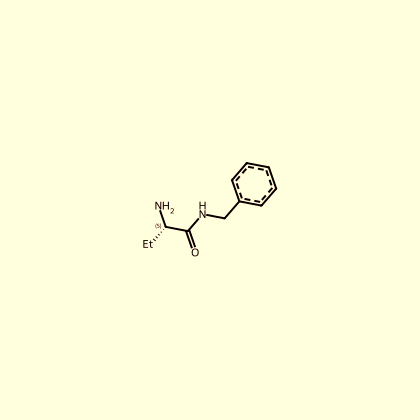 CC[C@H](N)C(=O)NCc1ccccc1